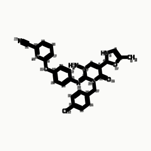 CC1=CNC(c2cn(N)/c(=N\c3ccc(Oc4cccc(C#N)n4)cc3)n(Cc3ccc(Cl)cc3)c2=O)O1